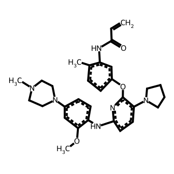 C=CC(=O)Nc1cc(Oc2nc(Nc3ccc(N4CCN(C)CC4)cc3OC)ccc2N2CCCC2)ccc1C